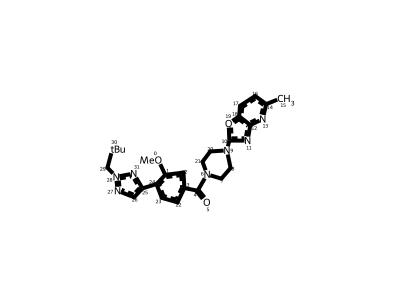 COc1cc(C(=O)N2CCN(c3nc4nc(C)ccc4o3)CC2)ccc1-c1cnn(CC(C)(C)C)n1